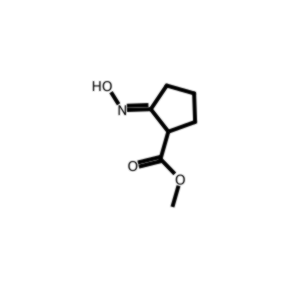 COC(=O)C1CCC/C1=N\O